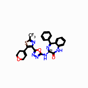 O=C1Nc2ccccc2C(c2ccccc2)=N[C@@H]1Nc1nnc(-c2nc(C(F)(F)F)sc2C2=CCOCC2)o1